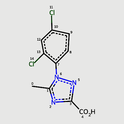 Cc1nc(C(=O)O)nn1-c1ccc(Cl)cc1Cl